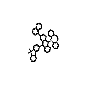 CC1(C)c2ccccc2-c2cc(-c3c4ccccc4c(N4c5ccccc5C=Cc5ccccc54)c4ccc(-c5cccc6ccccc56)cc34)ccc21